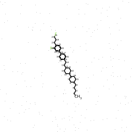 CCCCCC1CCC(C2CCC(CCc3ccc(-c4ccc(CCCF)c(F)c4)cc3)CC2)CC1